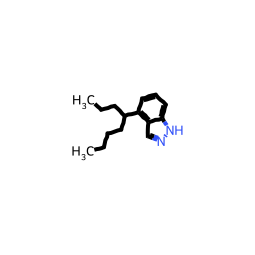 CCCCC(CCC)c1cccc2[nH]ncc12